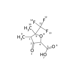 CC1C(=O)C(C(=O)O)OC1(C)C(F)(F)F